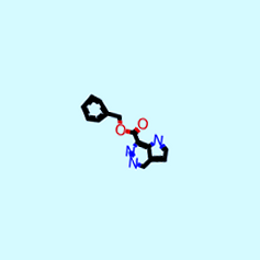 O=C(OCc1ccccc1)C1=C2N=CC=C2CN=N1